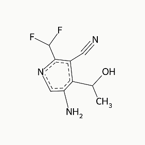 CC(O)c1c(N)cnc(C(F)F)c1C#N